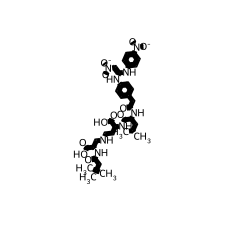 CC(C)CC(NC(=O)Cc1ccc(NC(=C[N+](=O)[O-])Nc2ccc([N+](=O)[O-])cc2)cc1)C(=O)NC(CCNCC(NC(=O)CC(C)(C)C)C(=O)O)C(=O)O